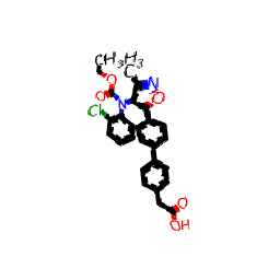 CCOC(=O)N(c1ccccc1Cl)c1c(C)noc1-c1ccc(-c2ccc(CC(=O)O)cc2)cc1